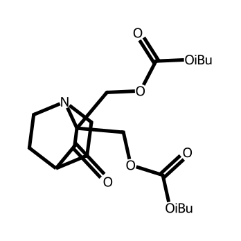 CC(C)COC(=O)OCC1(COC(=O)OCC(C)C)C(=O)C2CCN1CC2